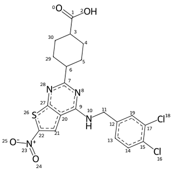 O=C(O)C1CCC(c2nc(NCc3ccc(Cl)c(Cl)c3)c3cc([N+](=O)[O-])sc3n2)CC1